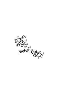 CNC.Cc1ccc2oc(SCCCCCC(=O)Nc3c(C(C)C)cccc3C(C)C)nc2c1